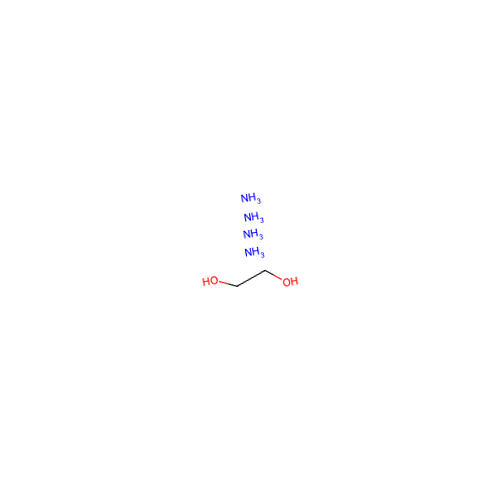 N.N.N.N.OCCO